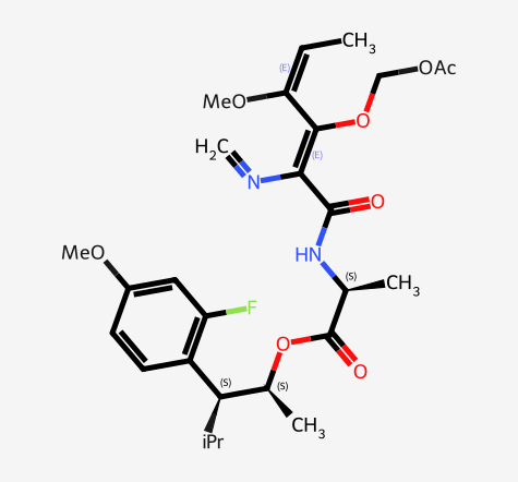 C=N/C(C(=O)N[C@@H](C)C(=O)O[C@@H](C)[C@H](c1ccc(OC)cc1F)C(C)C)=C(OCOC(C)=O)\C(=C/C)OC